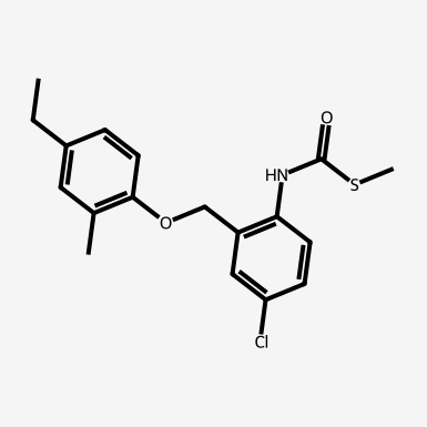 CCc1ccc(OCc2cc(Cl)ccc2NC(=O)SC)c(C)c1